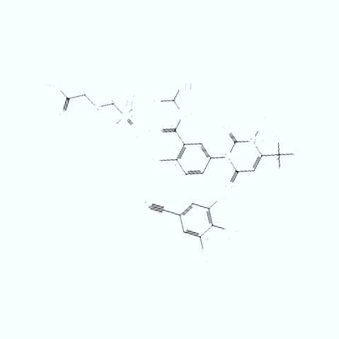 CC(C)OC(=O)c1cc(-n2c(=O)cc(C(F)(F)F)n(C)c2=O)ccc1Cl.N#Cc1cc(Br)c(O)c(Br)c1.O=C(O)CNCP(=O)(O)O